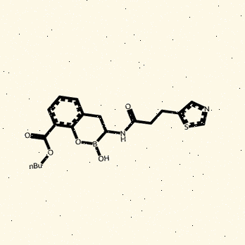 CCCCOC(=O)c1cccc2c1OB(O)C(NC(=O)CCc1cncs1)C2